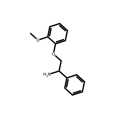 COc1ccccc1OCC(N)c1ccccc1